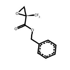 O=C(OCc1ccccc1)[C@@]1(C(F)(F)F)CO1